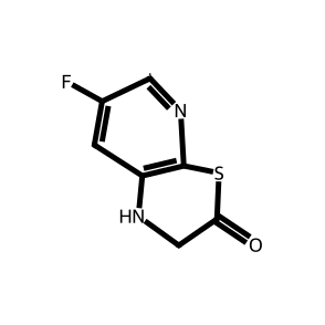 O=C1CNc2cc(F)[c]nc2S1